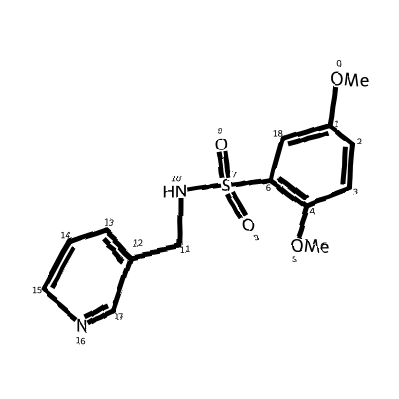 COc1ccc(OC)c(S(=O)(=O)NCc2cccnc2)c1